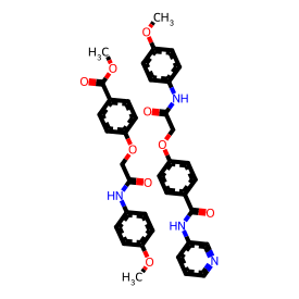 COC(=O)c1ccc(OCC(=O)Nc2ccc(OC)cc2)cc1.COc1ccc(NC(=O)COc2ccc(C(=O)Nc3cccnc3)cc2)cc1